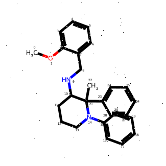 COc1ccccc1CNC1CCCN(c2ccccc2)C1(C)c1ccccc1